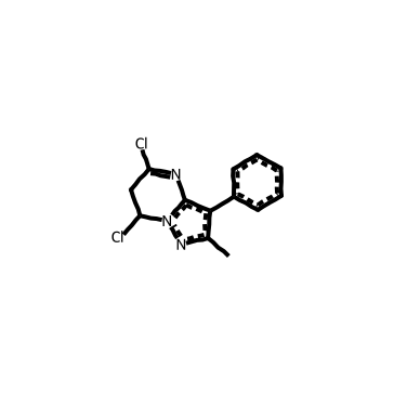 Cc1nn2c(c1-c1ccccc1)N=C(Cl)CC2Cl